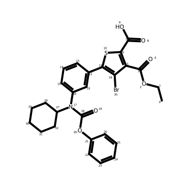 CCOC(=O)c1c(C(=O)O)sc(-c2cccc(N(C(=O)Oc3ccccc3)C3CCCCC3)c2)c1Br